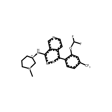 CN1CCC[C@@H](Nc2nnc(-c3ccc(C(F)(F)F)cc3OC(F)F)c3ccncc23)C1